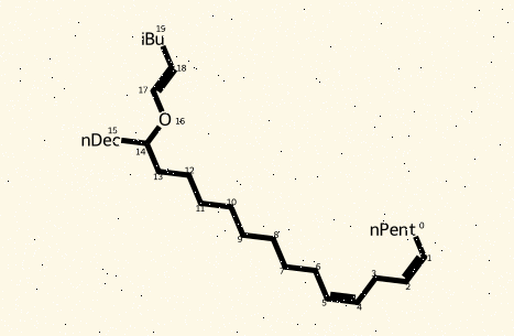 CCCCC/C=C\C/C=C\CCCCCCCCC(CCCCCCCCCC)O/C=C/C(C)CC